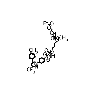 CCC(=O)OCO/N=[N+](\[O-])N(C)CCCCOC(=O)NS(=O)(=O)c1ccc(-n2nc(C(F)(F)F)cc2-c2ccc(C)cc2)cc1